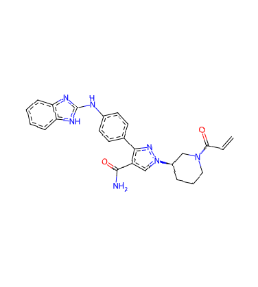 C=CC(=O)N1CCC[C@@H](n2cc(C(N)=O)c(-c3ccc(Nc4nc5ccccc5[nH]4)cc3)n2)C1